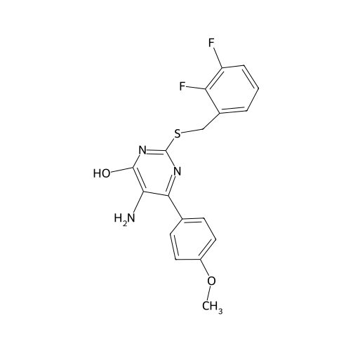 COc1ccc(-c2nc(SCc3cccc(F)c3F)nc(O)c2N)cc1